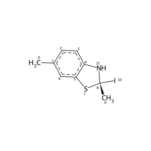 Cc1ccc2c(c1)S[C@@](C)(I)N2